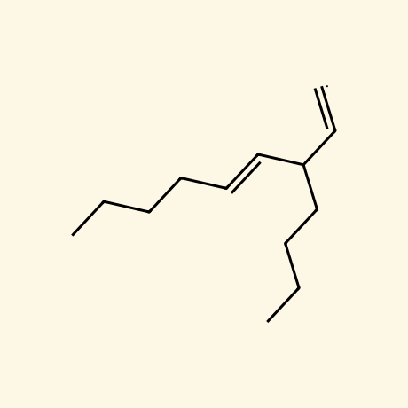 [CH]=CC(C=CCCCC)CCCC